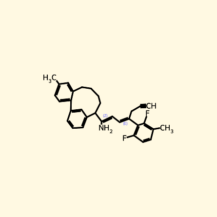 C#CC/C(=C\C=C(/N)C1CCCCc2cc(C)ccc2-c2cccc1c2)c1c(F)ccc(C)c1F